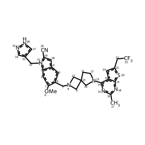 COc1cc2c(cc1CN1CC3(CCN(c4nc(C)nc5sc(CC(F)(F)F)cc45)C3)C1)cc(C#N)n2Cc1cn[nH]c1